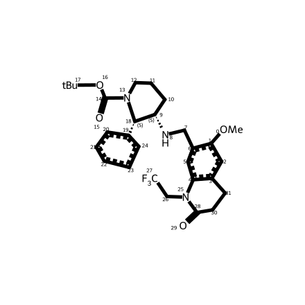 COc1cc2c(cc1CN[C@H]1CCCN(C(=O)OC(C)(C)C)[C@H]1c1ccccc1)N(CC(F)(F)F)C(=O)CC2